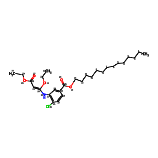 CCCCCCCCCCCCCCOC(=O)c1ccc(Cl)c(N/C(=C/C(=O)OCC)OCC)c1